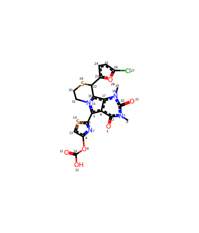 Cn1c(=O)c2c(-c3nc(OC(=O)O)cs3)n3c(c2n(C)c1=O)C(c1ccc(Cl)o1)SCC3